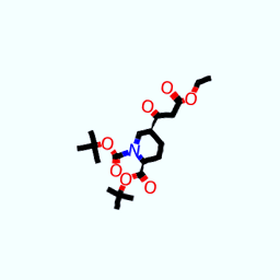 CCOC(=O)CC(=O)[C@H]1CC[C@@H](C(=O)OC(C)(C)C)N(C(=O)OC(C)(C)C)C1